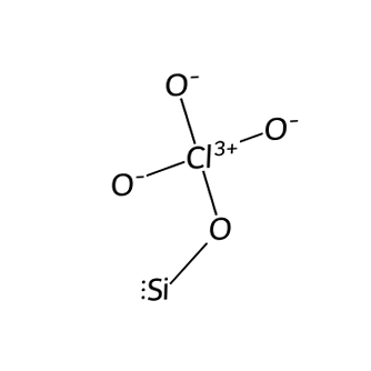 [O-][Cl+3]([O-])([O-])O[Si]